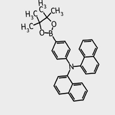 CC1(C)OB(c2ccc(N(c3cccc4ccccc34)c3cccc4ccccc34)cc2)OC1(C)C